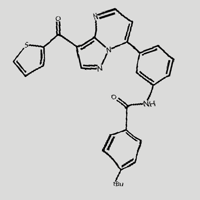 CC(C)(C)c1ccc(C(=O)Nc2cccc(-c3ccnc4c(C(=O)c5cccs5)cnn34)c2)cc1